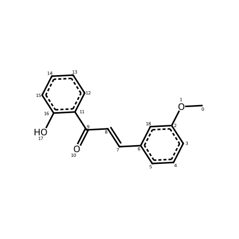 COc1cccc(C=CC(=O)c2ccccc2O)c1